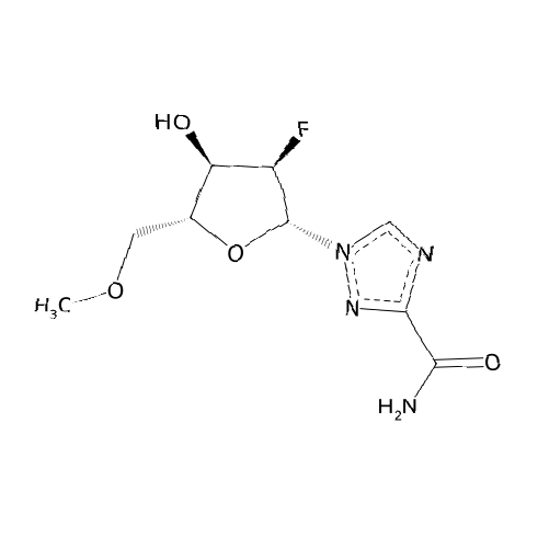 COC[C@H]1O[C@@H](n2cnc(C(N)=O)n2)[C@H](F)[C@@H]1O